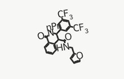 CCCN1C(=O)c2ccccc2C(C(=O)NCc2ccco2)C1c1cc(C(F)(F)F)cc(C(F)(F)F)c1